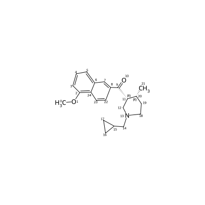 COc1cccc2cc(C(=O)[C@H]3CN(CC4CC4)CC[C@H]3C)ccc12